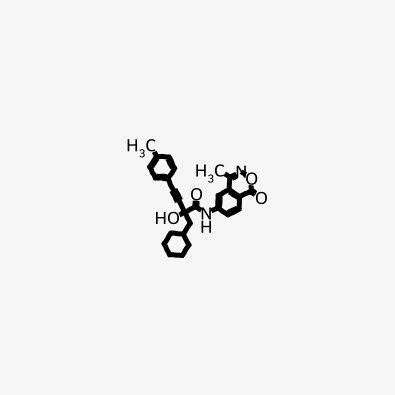 Cc1ccc(C#CC(O)(CC2CCCCC2)C(=O)Nc2ccc3c(=O)onc(C)c3c2)cc1